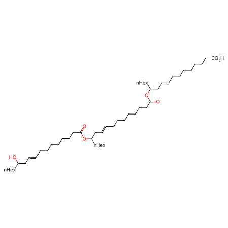 CCCCCCC(O)CC=CCCCCCCCC(=O)OC(CC=CCCCCCCCC(=O)OC(CC=CCCCCCCCC(=O)O)CCCCCC)CCCCCC